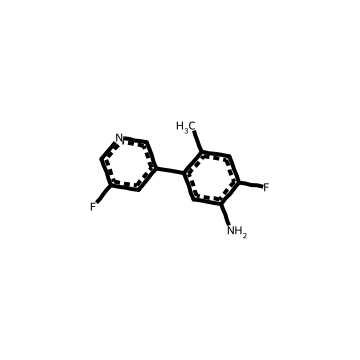 Cc1cc(F)c(N)cc1-c1cncc(F)c1